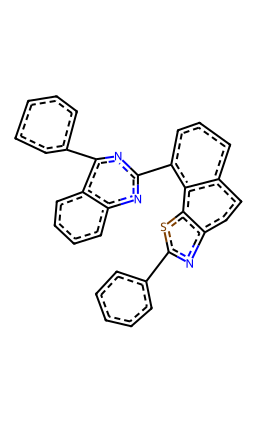 c1ccc(-c2nc3ccc4cccc(-c5nc(-c6ccccc6)c6ccccc6n5)c4c3s2)cc1